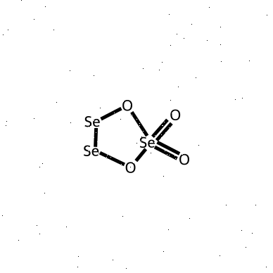 O=[Se]1(=O)O[Se][Se]O1